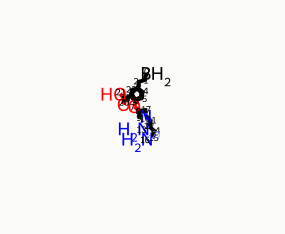 BCCc1ccc(OC2CN(CC(N)/C=C\N)C2)c(C(=O)O)c1